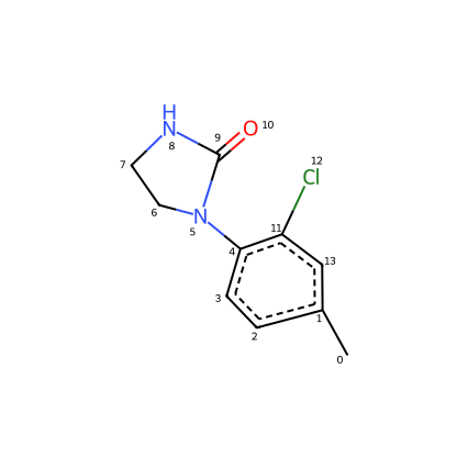 Cc1ccc(N2CCNC2=O)c(Cl)c1